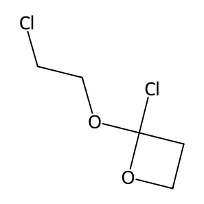 ClCCOC1(Cl)CCO1